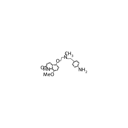 COc1ccc(OCCN(C)CCc2ccc(N)cc2)c2ccc(=O)[nH]c12